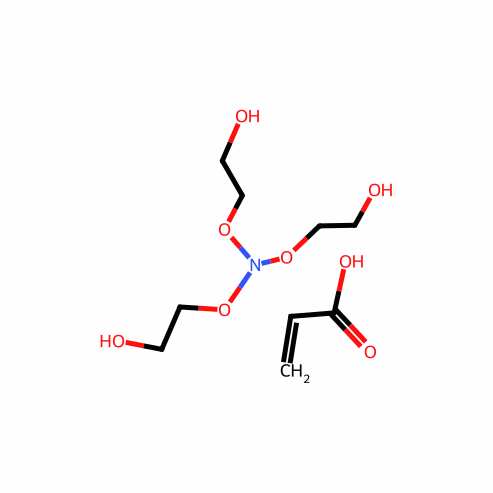 C=CC(=O)O.OCCON(OCCO)OCCO